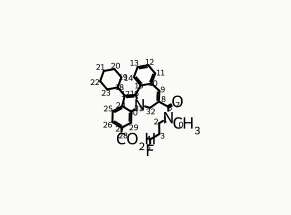 CN(CCCF)C(=O)C1=Cc2ccccc2-c2c(C3CCCCC3)c3ccc(C(=O)O)cc3n2C1